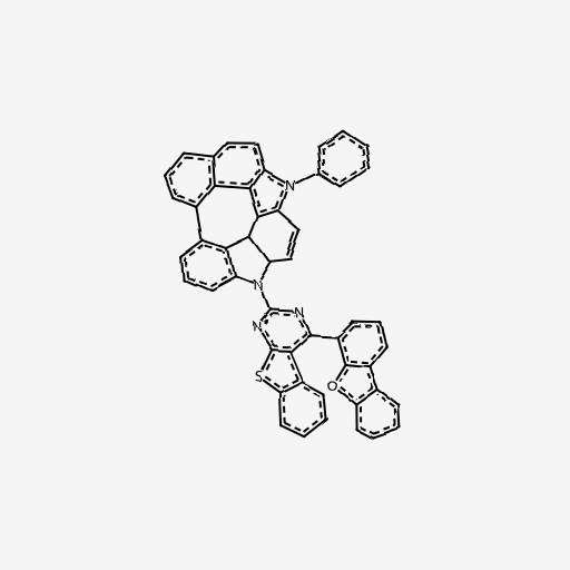 C1=CC2C3c4c(cccc4N2c2nc(-c4cccc5c4oc4ccccc45)c4c(n2)sc2ccccc24)-c2cccc4ccc5c(c3c1n5-c1ccccc1)c24